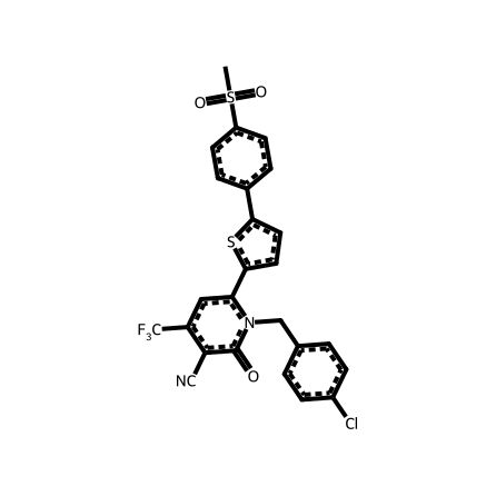 CS(=O)(=O)c1ccc(-c2ccc(-c3cc(C(F)(F)F)c(C#N)c(=O)n3Cc3ccc(Cl)cc3)s2)cc1